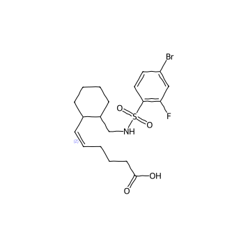 O=C(O)CCC/C=C\C1CCCCC1CNS(=O)(=O)c1ccc(Br)cc1F